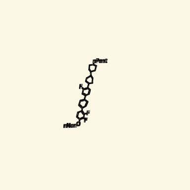 CCCCCCCCCOc1ccc(-c2ccc(-c3ccc(C4CCC(C5CCC(CCCCC)CC5)CC4)c(F)c3)cc2)c(F)c1F